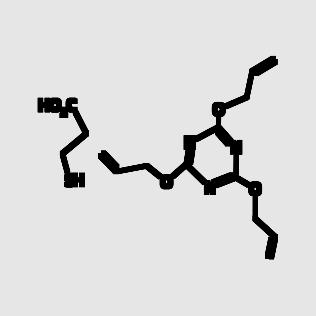 C=CCOc1nc(OCC=C)nc(OCC=C)n1.O=C(O)CCS